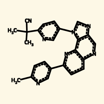 Cc1ccc(-c2ccc3ncc4ncn(-c5ccc(C(C)(C)C#N)nc5)c4c3n2)cn1